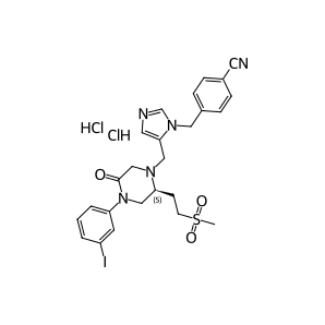 CS(=O)(=O)CC[C@H]1CN(c2cccc(I)c2)C(=O)CN1Cc1cncn1Cc1ccc(C#N)cc1.Cl.Cl